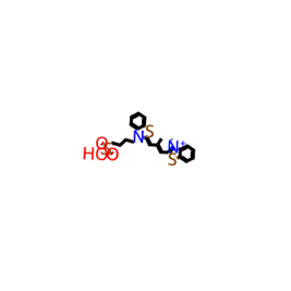 CC(/C=C1\Sc2ccccc2N1CCCCS(=O)(=O)O)=C\c1sc2ccccc2[n+]1C